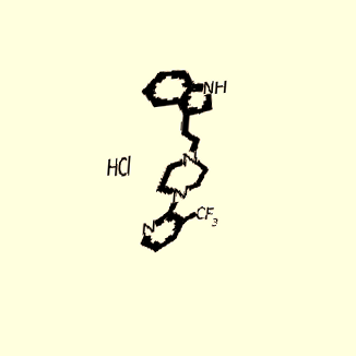 Cl.FC(F)(F)c1cccnc1N1CCN(CCc2c[nH]c3ccccc23)CC1